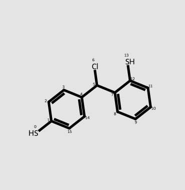 Sc1ccc(C(Cl)c2ccccc2S)cc1